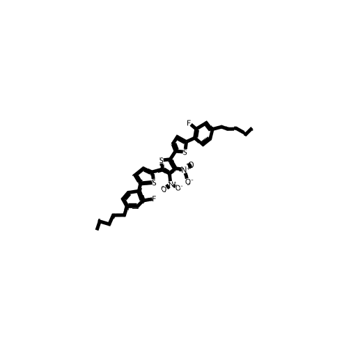 CCCCCc1ccc(-c2ccc(-c3sc(-c4ccc(-c5ccc(CCCCC)cc5F)s4)c([N+](=O)[O-])c3[N+](=O)[O-])s2)c(F)c1